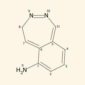 Nc1cccc2c1=CCN=NC=2